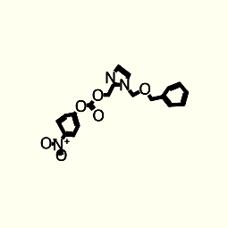 O=C(OCc1nccn1COCc1ccccc1)Oc1ccc([N+](=O)[O-])cc1